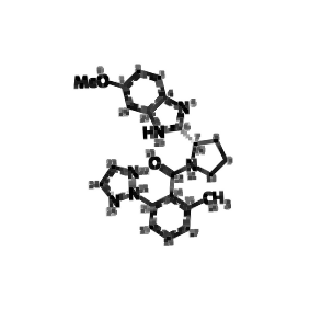 COc1ccc2nc([C@@H]3CCCN3C(=O)c3c(C)cccc3-n3nccn3)[nH]c2c1